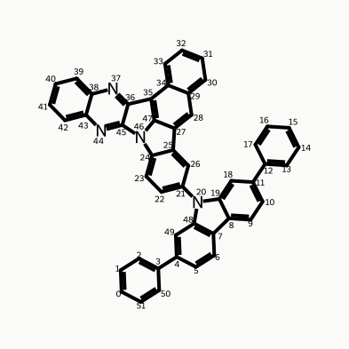 c1ccc(-c2ccc3c4ccc(-c5ccccc5)cc4n(-c4ccc5c(c4)c4cc6ccccc6c6c7nc8ccccc8nc7n5c46)c3c2)cc1